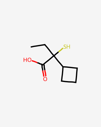 CCC(S)(C(=O)O)C1CCC1